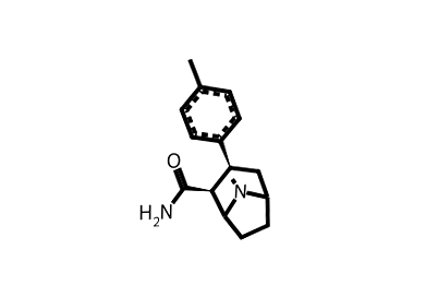 Cc1ccc([C@H]2CC3CCC([C@H]2C(N)=O)N3C)cc1